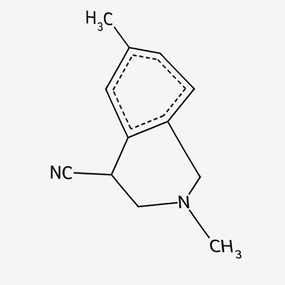 Cc1ccc2c(c1)C(C#N)CN(C)C2